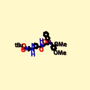 COc1ccc(CN(C[C@H](O)CNC(=O)c2ccnc(NC3CN(C(=O)OC(C)(C)C)C3)c2)C2Cc3ccccc3C2)c(OC)c1